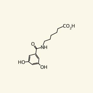 O=C(O)CCCCCNC(=O)c1cc(O)cc(O)c1